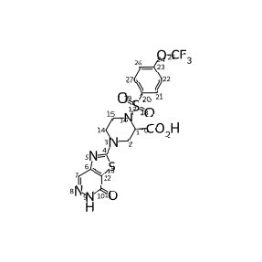 O=C(O)[C@H]1CN(c2nc3cn[nH]c(=O)c3s2)CCN1S(=O)(=O)c1ccc(OC(F)(F)F)cc1